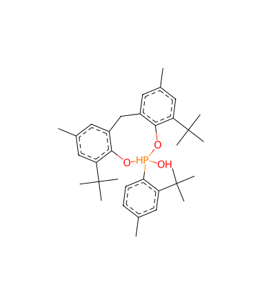 Cc1ccc([PH]2(O)Oc3c(cc(C)cc3C(C)(C)C)Cc3cc(C)cc(C(C)(C)C)c3O2)c(C(C)(C)C)c1